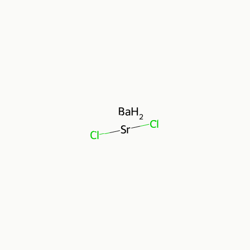 [BaH2].[Cl][Sr][Cl]